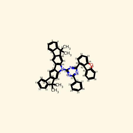 CC1(C)c2ccccc2-c2cc3c4cc5c(cc4n(-c4nc(-c6ccccc6)nc(-c6cccc7oc8ccccc8c67)n4)c3cc21)C(C)(C)c1ccccc1-5